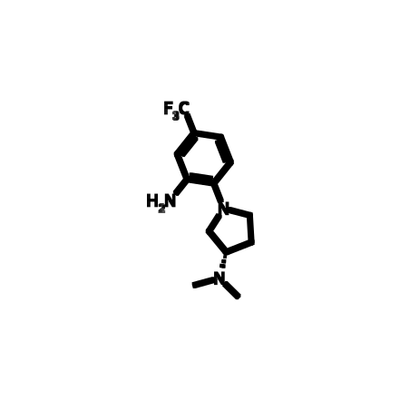 CN(C)[C@H]1CCN(c2ccc(C(F)(F)F)cc2N)C1